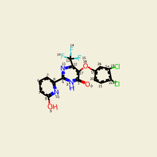 O=c1[nH]c(-c2cccc(O)n2)nc(C(F)(F)F)c1Oc1ccc(Cl)c(Cl)c1